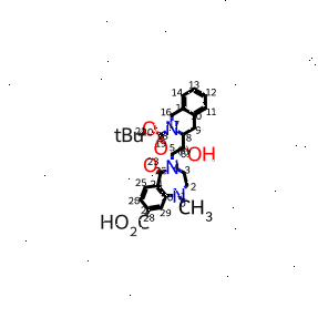 CN1CCN(C[C@@H](O)C2Cc3ccccc3CN2C(=O)OC(C)(C)C)C(=O)c2ccc(C(=O)O)cc21